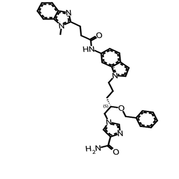 Cn1c(CCC(=O)Nc2ccc3ccn(CCC[C@@H](Cn4cnc(C(N)=O)c4)OCc4ccccc4)c3c2)nc2ccccc21